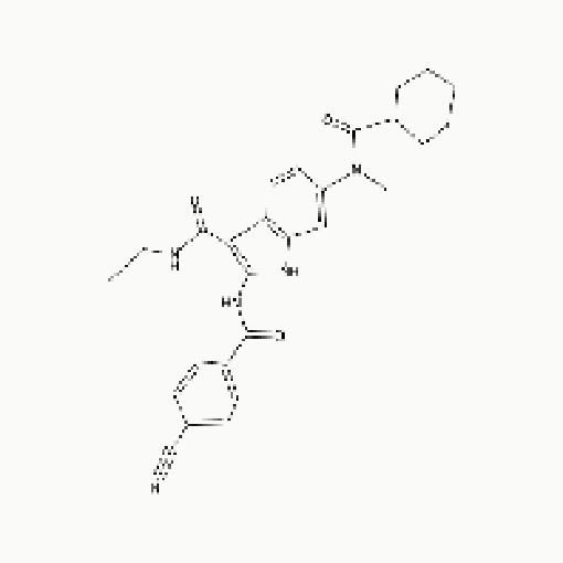 CCNC(=O)c1c(NC(=O)c2ccc(C#N)cc2)[nH]c2cc(N(C)C(=O)C3CCCCC3)ccc12